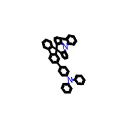 c1ccc(N(c2ccccc2)c2ccc(-c3ccc4c(c3)C3(c5ccccc5-4)c4ccccc4-n4c5ccccc5c5cccc3c54)cc2)cc1